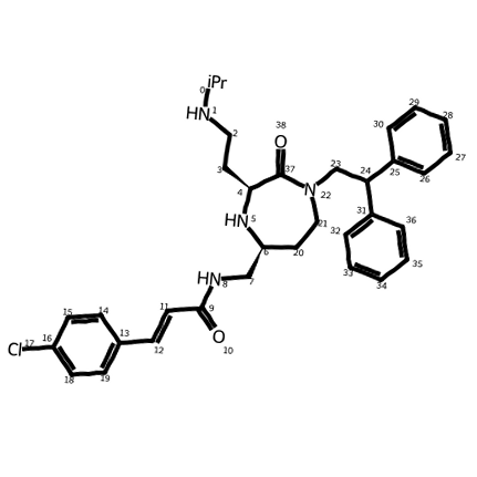 CC(C)NCC[C@@H]1N[C@H](CNC(=O)/C=C/c2ccc(Cl)cc2)CCN(CC(c2ccccc2)c2ccccc2)C1=O